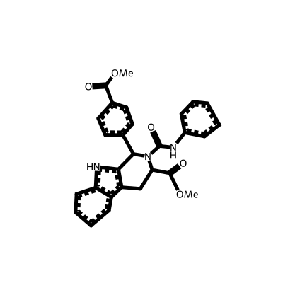 COC(=O)c1ccc(C2c3[nH]c4ccccc4c3CC(C(=O)OC)N2C(=O)Nc2ccccc2)cc1